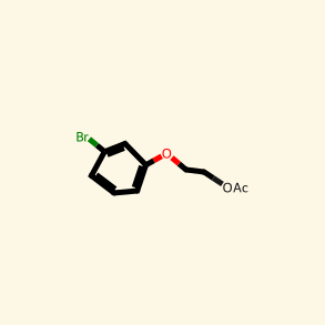 CC(=O)OCCOc1cccc(Br)c1